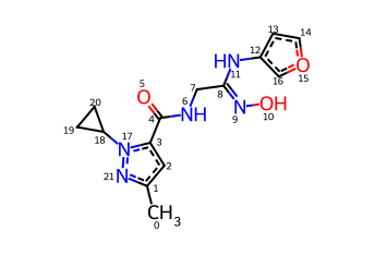 Cc1cc(C(=O)NCC(=NO)Nc2ccoc2)n(C2CC2)n1